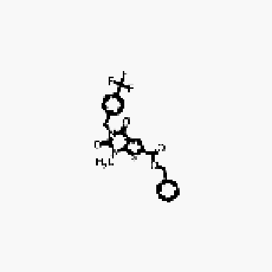 Cn1c(=O)n(Cc2ccc(C(F)(F)F)cc2)c(=O)c2cc(C(=O)OCc3ccccc3)sc21